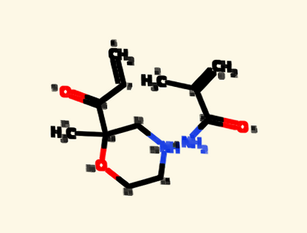 C=C(C)C(N)=O.C=CC(=O)C1(C)CNCCO1